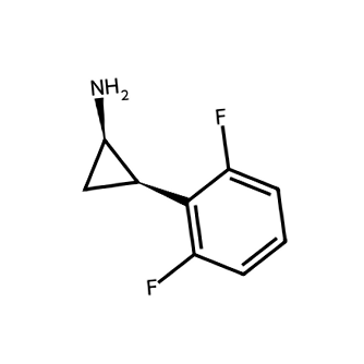 N[C@@H]1C[C@@H]1c1c(F)cccc1F